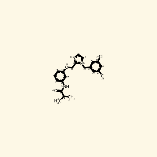 CC(C)C(=O)Nc1cccc(OCc2nccn2Cc2cc(Cl)cc(Cl)c2)c1